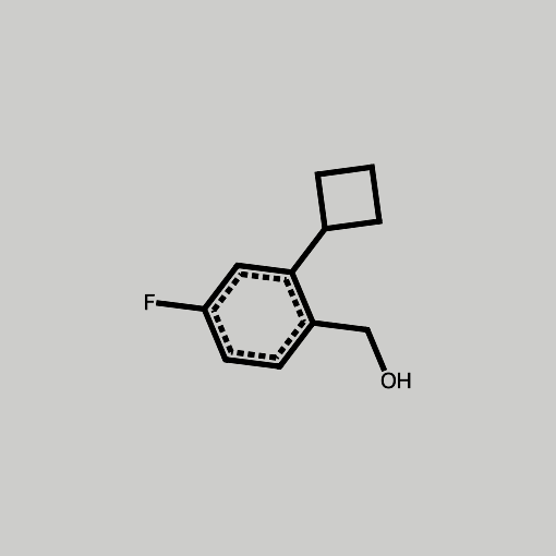 OCc1ccc(F)cc1C1CCC1